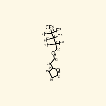 FC(F)(F)C(F)(F)C(F)(F)C(F)(F)COCCC1CCCO1